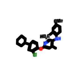 COc1ccc(Nc2cnc(Oc3ccc(C4CCCCC4)cc3Cl)cc2C)c(C(=O)O)c1